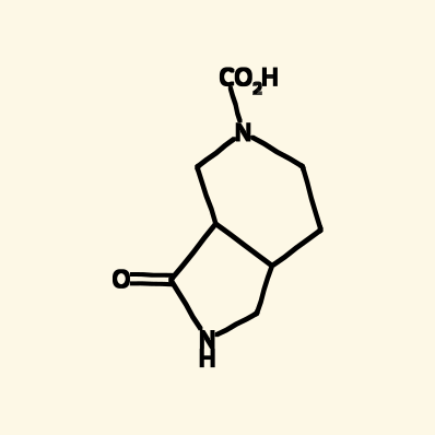 O=C1NCC2CCN(C(=O)O)CC12